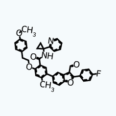 COc1ccc(CCOc2cc(C)c(-c3ccc4oc(-c5ccc(F)cc5)c(C=O)c4c3)cc2C(=O)NC2(c3ccccn3)CC2)cc1